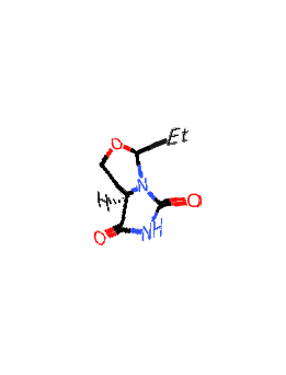 CCC1OC[C@@H]2C(=O)NC(=O)N12